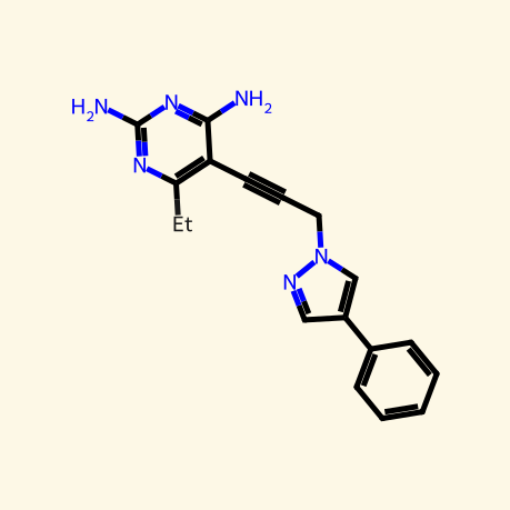 CCc1nc(N)nc(N)c1C#CCn1cc(-c2ccccc2)cn1